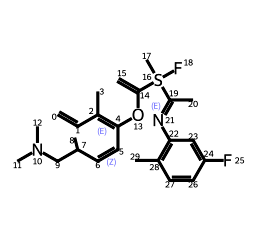 C=C/C(C)=C(\C=C/C(C)CN(C)C)OC(=C)S(C)(F)/C(C)=N/c1cc(F)ccc1C